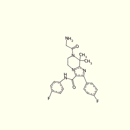 CC1(C)c2nc(-c3ccc(F)cc3)c(C(=O)Nc3ccc(F)cc3)n2CCN1C(=O)CN